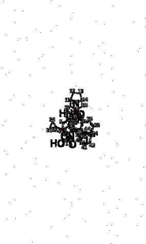 O=C(O)c1ccc(NC(=O)N2C3CCC2CC(OCc2c(-c4c(Cl)cccc4Cl)noc2C2CC2)C3)c(F)c1-c1ccccc1